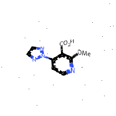 COc1nccc(-n2nccn2)c1C(=O)O